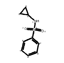 O=S(=O)(NC1CC1)c1[c]cccc1